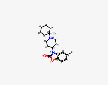 Cc1ccc2oc(=O)n(C3CCN(C4(C)CCCCC4)CC3)c2c1